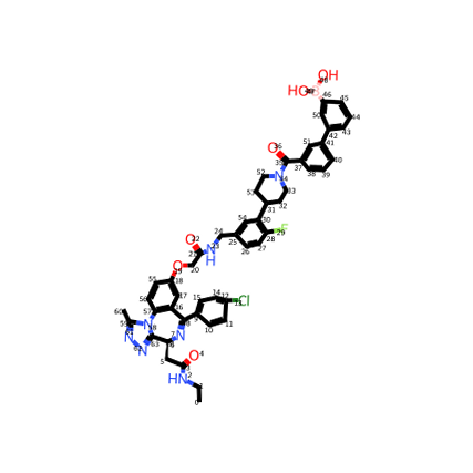 CCNC(=O)C[C@@H]1N=C(c2ccc(Cl)cc2)c2cc(OCC(=O)NCc3ccc(F)c(C4CCN(C(=O)c5cccc(-c6cccc(B(O)O)c6)c5)CC4)c3)ccc2-n2c(C)nnc21